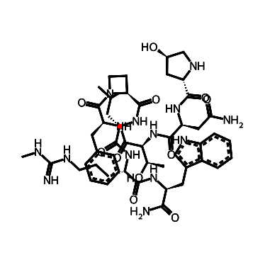 CNC(=N)NCCC[C@H](NC(=O)[C@H](CC(C)C)NC(=O)[C@@H]1CCN1C(=O)[C@H](Cc1ccccc1)NC(=O)[C@@H](NC(=O)[C@H](CC(N)=O)NC(=O)[C@@H]1C[C@@H](O)CN1)[C@@H](C)O)C(=O)N[C@@H](Cc1c[nH]c2ccccc12)C(N)=O